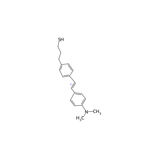 CN(C)c1ccc(/C=C/c2ccc(CCCS)cc2)cc1